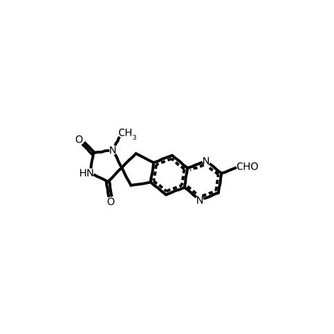 CN1C(=O)NC(=O)C12Cc1cc3ncc(C=O)nc3cc1C2